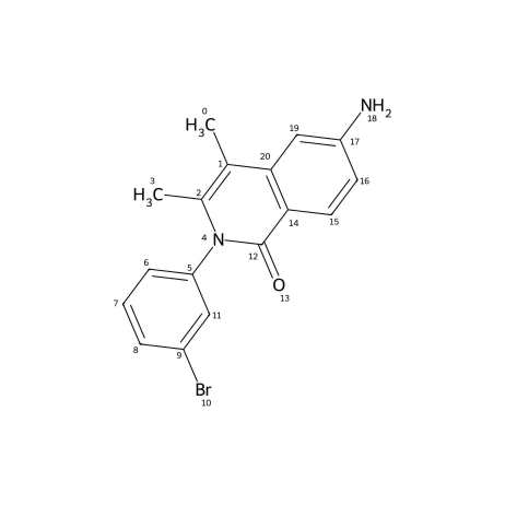 Cc1c(C)n(-c2cccc(Br)c2)c(=O)c2ccc(N)cc12